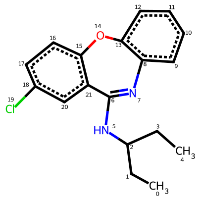 CCC(CC)NC1=Nc2ccccc2Oc2ccc(Cl)cc21